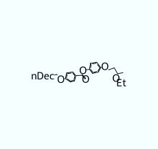 CCCCCCCCCCCOc1ccc(C(=O)Oc2ccc(OCCC(C)OCC)cc2)cc1